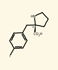 O=C(O)[C@]1(Cc2ccc(I)cc2)CCCN1